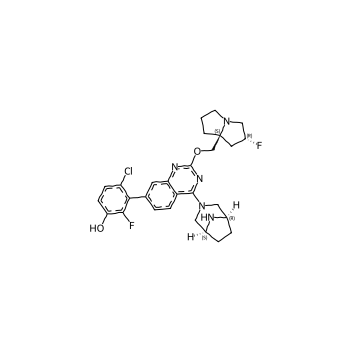 Oc1ccc(Cl)c(-c2ccc3c(N4C[C@H]5CC[C@@H](C4)N5)nc(OC[C@@]45CCCN4C[C@H](F)C5)nc3c2)c1F